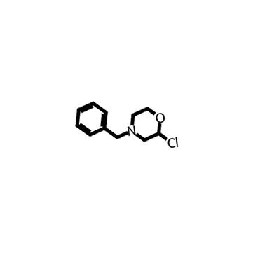 ClC1CN(Cc2ccccc2)CCO1